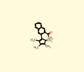 CC(=O)c1cc2ccccc2cc1C1=C(C)C(C)=C(C)C1C